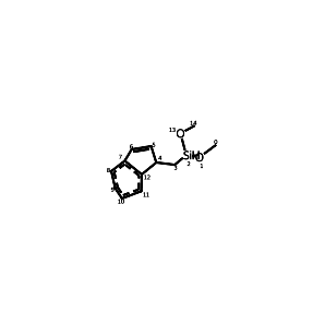 CO[SiH](CC1C=Cc2ccccc21)OC